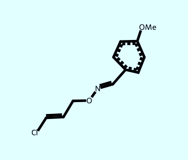 [CH2]Oc1ccc(C=NOCC=CCl)cc1